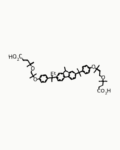 CCC(C)(c1ccc(OC(C)(C)COC(C)(C)CCC(=O)O)cc1)c1ccc2c(c1)C(C)c1cc(C(C)(C)c3ccc(OC(C)(C)CCOC(C)(C)CCC(=O)O)cc3)ccc1-2